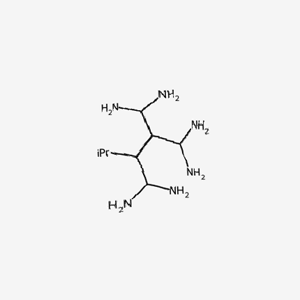 CC(C)C(C(N)N)C(C(N)N)C(N)N